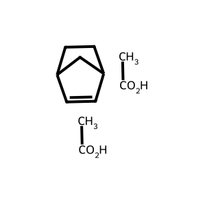 C1=CC2CCC1C2.CC(=O)O.CC(=O)O